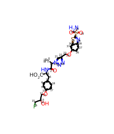 CC(C)C(C(=O)N[C@@H](Cc1ccc(OCC(O)CF)cc1)C(=O)O)n1cc(COc2ccc3nc(S(N)(=O)=O)sc3c2)nn1